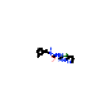 Cc1cccc(CCNC(=O)NCCNc2ncccc2Cl)c1